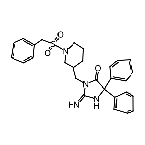 N=C1NC(c2ccccc2)(c2ccccc2)C(=O)N1CC1CCCN(S(=O)(=O)Cc2ccccc2)C1